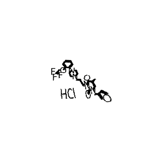 Cc1cn(Cc2ccoc2)c(=O)n(CCCN2CCN(c3ccccc3OCC(F)(F)F)CC2)c1=O.Cl